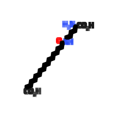 N[C@@H](CCCCNC(=O)CCCCCCCCCCCCCCCCC(=O)O)C(=O)O